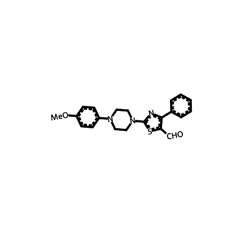 COc1ccc(N2CCN(c3nc(-c4ccccc4)c(C=O)s3)CC2)cc1